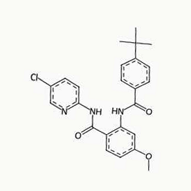 COc1ccc(C(=O)Nc2ccc(Cl)cn2)c(NC(=O)c2ccc(C(C)(C)C)cc2)c1